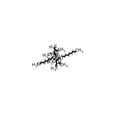 CCCCCCCCCOC(OC(OCCCCCCCCC)C(CCCC)(OCC)OCC)C(CCCC)(OCC)OCC